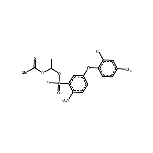 CCP(=O)(OC(C)OC(=S)C(C)(C)C)c1cc(Oc2ccc(C(F)(F)F)cc2Cl)ccc1[N+](=O)[O-]